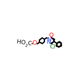 O=C(O)COCC1CCC(Cn2nc(Cl)c(-c3ccccc3)cc2=O)CC1